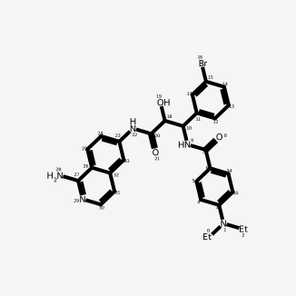 CCN(CC)c1ccc(C(=O)NC(c2cccc(Br)c2)C(O)C(=O)Nc2ccc3c(N)nccc3c2)cc1